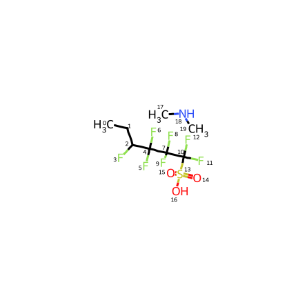 CCC(F)C(F)(F)C(F)(F)C(F)(F)S(=O)(=O)O.CNC